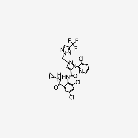 O=C(NC1CC1)c1cc(Cl)cc(Cl)c1NC(=O)c1cc(Cn2ncc(C(F)(F)F)n2)nn1-c1ncccc1Cl